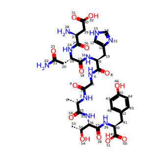 C[C@H](NC(=O)CNC(=O)[C@H](Cc1c[nH]cn1)NC(=O)[C@H](CC(N)=O)NC(=O)[C@@H](N)CC(=O)O)C(=O)N[C@H](C(=O)N[C@@H](Cc1ccc(O)cc1)C(=O)O)[C@@H](C)O